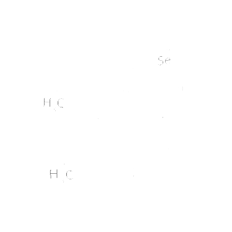 Cc1ccc2c(c1C)C[Se]C2